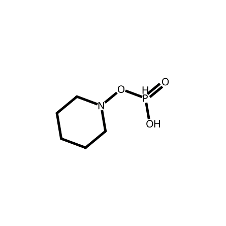 O=[PH](O)ON1CCCCC1